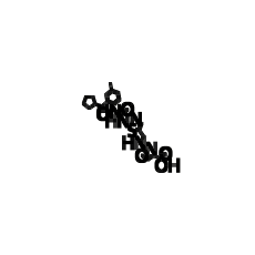 Cc1ccc(NC(=O)Nc2ncc(CNc3nc(C(=O)O)co3)s2)c(C(=O)C2CCCC2)c1